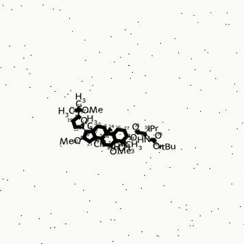 CO[C@H]1CC2C3(CC[C@]4(C)[C@@H](C5CC[C@@H](C(C)(C)OC)O5)[C@@H](OC)C[C@@]24C)C[C@@]32CC[C@H](OC(=O)[C@@H](NC(=O)OC(C)(C)C)C(C)C)C(C)(C)[C@H]12